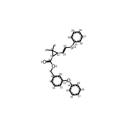 CC1(C)[C@H](C(=O)OCc2cccc(Oc3ccccc3)c2)[C@@H]1/C=C/Sc1ccccc1